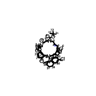 CO[C@@H]1/C=C/CN(C(=O)OC(C)(C)C)[C@@H](C)C(=O)NS(=O)(=O)c2ccc3c(c2)N(C[C@@H]2CC[C@H]21)C[C@@]1(CCCc2cc(Cl)ccc21)CO3